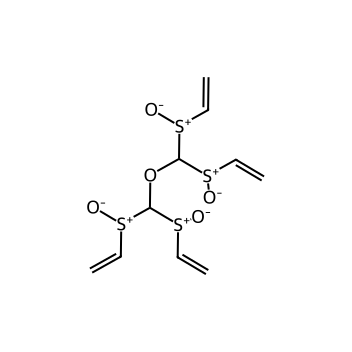 C=C[S+]([O-])C(OC([S+]([O-])C=C)[S+]([O-])C=C)[S+]([O-])C=C